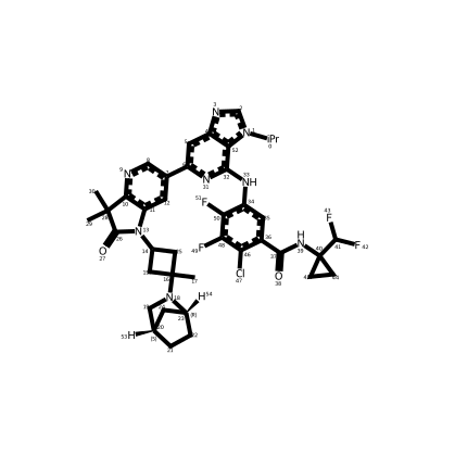 CC(C)n1cnc2cc(-c3cnc4c(c3)N(C3CC(C)(N5C[C@H]6CC[C@@H]5C6)C3)C(=O)C4(C)C)nc(Nc3cc(C(=O)NC4(C(F)F)CC4)c(Cl)c(F)c3F)c21